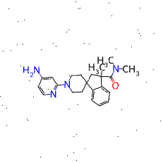 CN(C)C(=O)C1(C)CC2(CCN(c3cc(N)ccn3)CC2)c2ccccc21